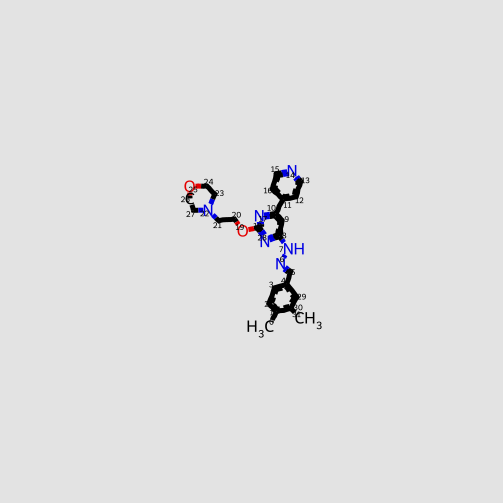 Cc1ccc(/C=N/Nc2cc(-c3ccncc3)nc(OCCN3CCOCC3)n2)cc1C